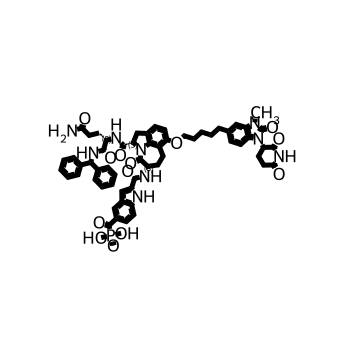 Cn1c(=O)n(C2CCC(=O)NC2=O)c2ccc(CCCCCOc3ccc4c5c3CC[C@H](NC(=O)c3cc6cc(C(=O)P(=O)(O)O)ccc6[nH]3)C(=O)N5[C@H](C(=O)N[C@@H](CCC(N)=O)C(=O)NC(c3ccccc3)c3ccccc3)C4)cc21